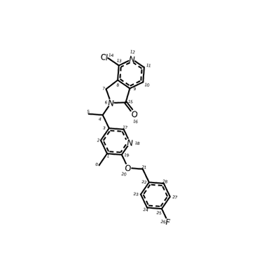 Cc1cc(C(C)N2Cc3c(ccnc3Cl)C2=O)cnc1OCc1ccc(F)cc1